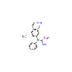 Cl.N=C(N=O)N(c1ccccc1)c1ccc2c(c1)CNC=C2